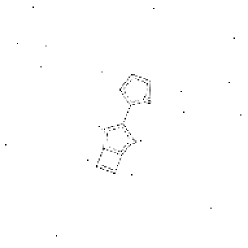 [c]1c(-c2cccs2)sc2c1C=C2